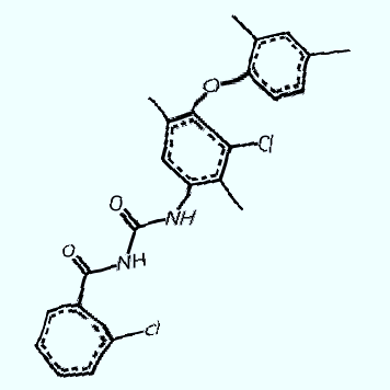 Cc1ccc(Oc2c(C)cc(NC(=O)NC(=O)c3ccccc3Cl)c(C)c2Cl)c(C)c1